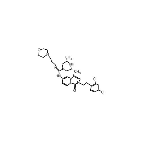 C[C@@H]1CN(/C(=N\CCCN2CCOCC2)Nc2ccc3c(=O)n(CCc4ccc(Cl)cc4Cl)cnc3c2)C[C@H](C)N1